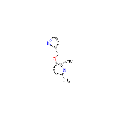 Cc1ccc(OCc2cccnc2)c(C=O)n1